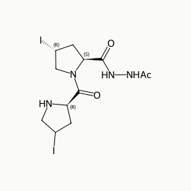 CC(=O)NNC(=O)[C@@H]1C[C@@H](I)CN1C(=O)[C@H]1CC(I)CN1